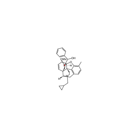 CO[C@]12C=C[C@@]3(C[C@@H]1C(O)c1ccccc1)[C@H]1Cc4ccc(C)c5c4[C@@]3(CCN1CC1CC1)[C@H]2O5